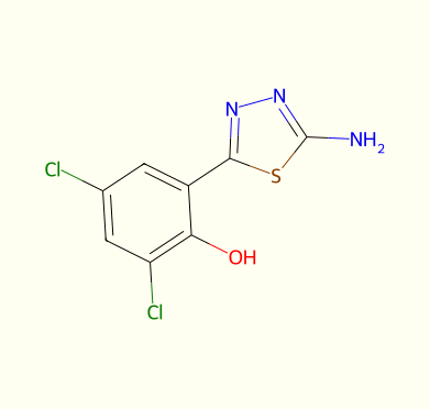 Nc1nnc(-c2cc(Cl)cc(Cl)c2O)s1